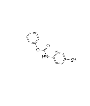 O=C(Nc1ccc(S)cn1)Oc1ccccc1